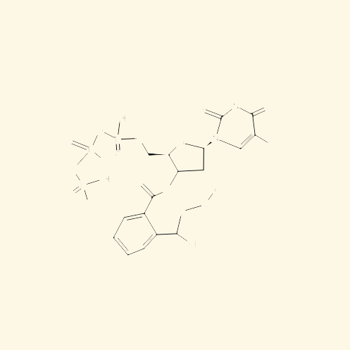 Cc1cn([C@H]2CC(OC(=O)c3ccccc3C(C)SSC(C)(C)C)[C@@H](COP(=O)(O)OP(=O)(O)OP(=O)(O)O)O2)c(=O)[nH]c1=O